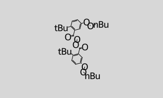 CCCCOOc1ccc(C(C)(C)C)c(C(=O)OOC(=O)c2cc(OOCCCC)ccc2C(C)(C)C)c1